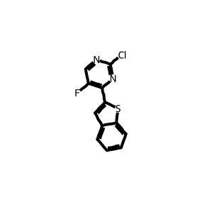 Fc1cnc(Cl)nc1-c1cc2ccccc2s1